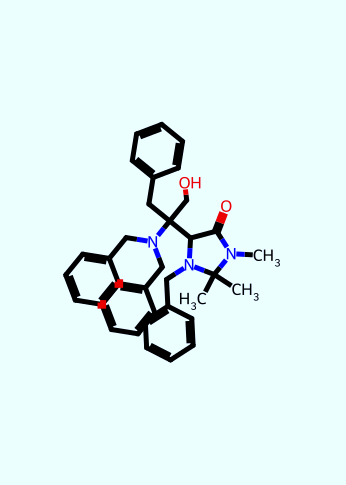 CN1C(=O)C(C(CO)(Cc2ccccc2)N(Cc2ccccc2)Cc2ccccc2)N(Cc2ccccc2)C1(C)C